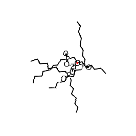 CCCCCCCCP(=O)(CCCCCCCC)[O][Zr]([O]P(=O)(CCCCCCCC)CCCCCCCC)[O]P(=O)(CCCCCCCC)CCCCCCCC